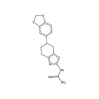 N=C(N)Nc1nc2c(s1)CC(c1ccc3c(c1)OCO3)CC2